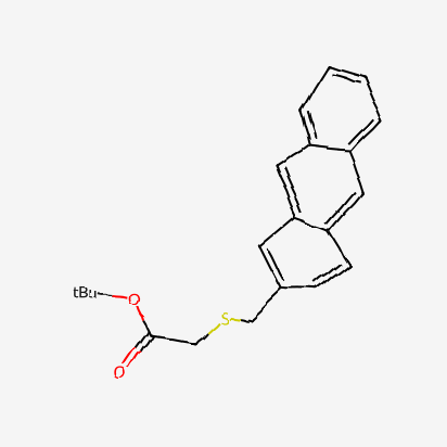 CC(C)(C)OC(=O)CSCc1ccc2cc3ccccc3cc2c1